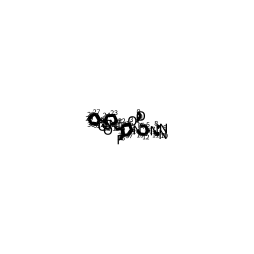 COC(=O)[C@@H]1C[C@H](n2cnnc2)CCN1c1ccc(CN2[C@@H](C)CC[C@H](c3ccccc3)S2(=O)=O)c(F)c1